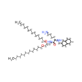 CCCCCCCCCCCCCCOCC(CNC(=O)[C@H](CCCCN)NCc1ccc2ccccc2c1)OCCCCCCCCCCCCCC